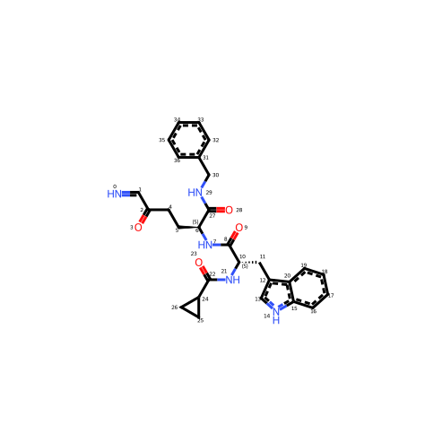 N=CC(=O)CC[C@H](NC(=O)[C@H](Cc1c[nH]c2ccccc12)NC(=O)C1CC1)C(=O)NCc1ccccc1